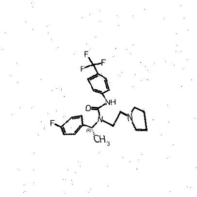 C[C@H](c1ccc(F)cc1)N(CCN1CCCC1)C(=O)Nc1ccc(C(F)(F)F)cc1